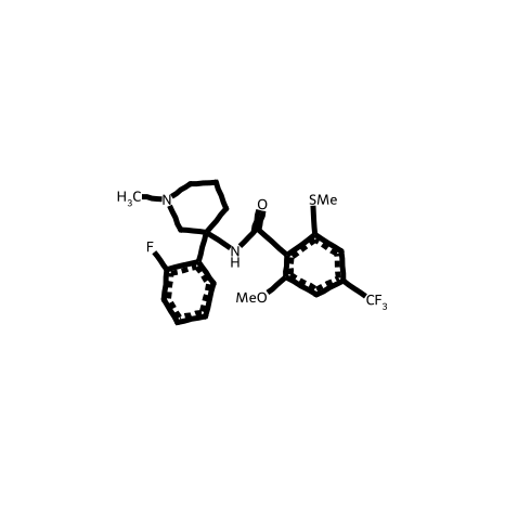 COc1cc(C(F)(F)F)cc(SC)c1C(=O)NC1(c2ccccc2F)CCCN(C)C1